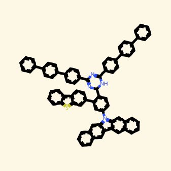 c1ccc(-c2ccc(-c3ccc(C4=NC(c5ccc(-n6c7cc8ccccc8cc7c7cc8ccccc8cc76)cc5-c5ccc6c(c5)sc5ccccc56)NC(c5ccc(-c6ccc(-c7ccccc7)cc6)cc5)=N4)cc3)cc2)cc1